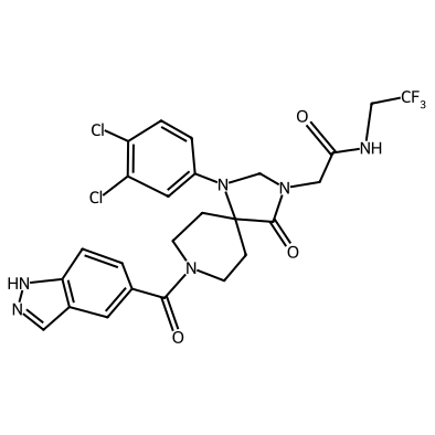 O=C(CN1CN(c2ccc(Cl)c(Cl)c2)C2(CCN(C(=O)c3ccc4[nH]ncc4c3)CC2)C1=O)NCC(F)(F)F